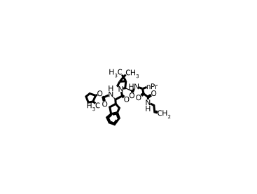 C=CCNC(=O)C(=O)C(CCC)NC(=O)[C@@H]1C2C(CN1C(=O)[C@@H](NC(=O)OC1CCCC1C)C1Cc3ccccc3C1)C2(C)C